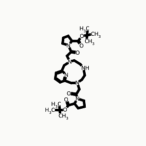 CC(C)(C)OC(=O)C1CCCN1C(=O)CN1CCNCCN(CC(=O)N2CCCC2C(=O)OC(C)(C)C)Cc2cccc(n2)C1